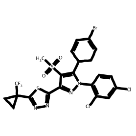 CS(=O)(=O)c1c(-c2nnc(C3(C(F)(F)F)CC3)s2)nn(-c2ccc(Cl)cc2Cl)c1C1C=CC(Br)=CC1